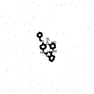 COc1cccc(Nc2nc(Nc3ccc(OCc4ccccc4)cc3)nc3ccccc23)c1.Cl